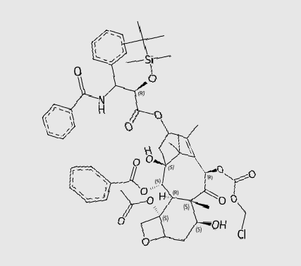 CC(=O)O[C@@]12COC1C[C@H](O)[C@@]1(C)C(=O)[C@H](OC(=O)OCCl)C3=C(C)C(OC(=O)[C@H](O[Si](C)(C)C(C)(C)C)C(NC(=O)c4ccccc4)c4ccccc4)C[C@@](O)([C@@H](OC(=O)c4ccccc4)[C@@H]12)C3(C)C